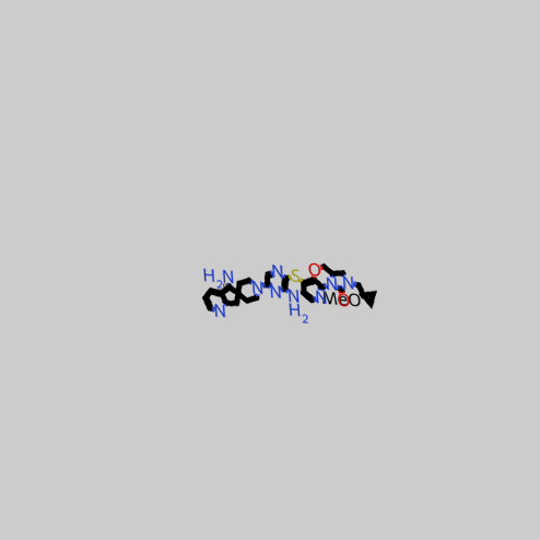 COC1(CN2CC3COc4c(Sc5ncc(N6CCC7(CC6)Cc6ncccc6[C@H]7N)nc5N)ccnc4N3C2=O)CC1